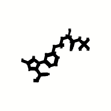 Cc1cc(C(=O)O)n(-c2cccc(CNC[C@H](C)C(=O)OC(C)(C)C)c2)n1